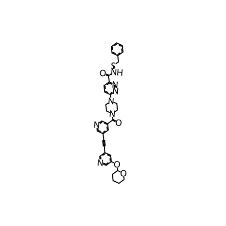 O=C(NSCc1ccccc1)c1ccc(N2CCN(C(=O)c3cncc(C#Cc4cncc(OC5CCCCO5)c4)c3)CC2)nn1